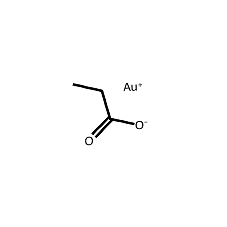 CCC(=O)[O-].[Au+]